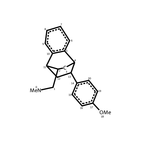 CNCC1CC2c3ccccc3C1CC2c1ccc(OC)cc1